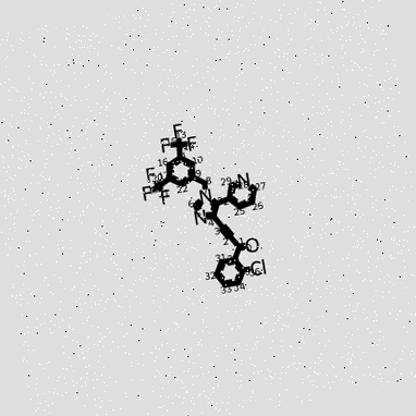 O=C(C#Cc1ncn(Cc2cc(C(F)(F)F)cc(C(F)(F)F)c2)c1-c1cccnc1)c1ccccc1Cl